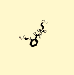 CCCS(=O)(=O)NC(=O)c1ccccc1OCC